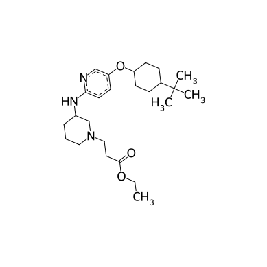 CCOC(=O)CCN1CCCC(Nc2ccc(OC3CCC(C(C)(C)C)CC3)cn2)C1